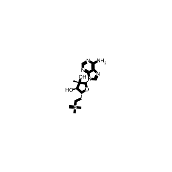 C=P(C)(C)CC[C@H]1O[C@@H](n2cnc3c(N)ncnc32)[C@@](C)(O)[C@@H]1O